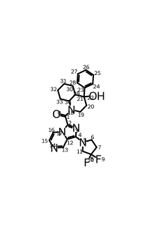 O=C(c1nc(N2CCC(F)(F)C2)c2cnccn12)N1CCC(O)(c2ccccc2)C2CCCCC21